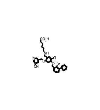 N#Cc1cncc(COc2cc(OCc3cccc(-c4ccccc4)c3Br)c(Cl)cc2CNCCCCCC(=O)O)c1